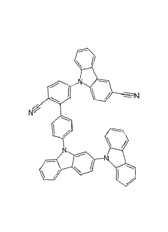 N#Cc1ccc2c(c1)c1ccccc1n2-c1ccc(C#N)c(-c2ccc(-n3c4ccccc4c4ccc(-n5c6ccccc6c6ccccc65)cc43)cc2)c1